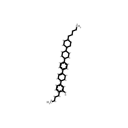 CCCCCC1CCC(C2CCC(c3ccc(C4=CCC(c5ccc(CCCC)c(F)c5)CC4)cc3)CC2)CC1